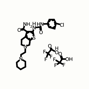 NC(=O)c1c(NC(=O)Nc2ccc(Cl)cc2)sc2c1CCN(CCN1CCCCC1)C2.O=C(O)C(F)(F)F.O=C(O)C(F)(F)F